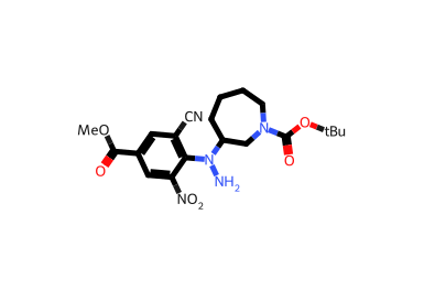 COC(=O)c1cc(C#N)c(N(N)C2CCCCN(C(=O)OC(C)(C)C)C2)c([N+](=O)[O-])c1